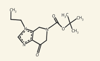 CCCn1cnc2c1CN(C(=O)OC(C)(C)C)CC2=O